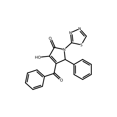 O=C(C1=C(O)C(=O)N(c2nncs2)C1c1ccccc1)c1ccccc1